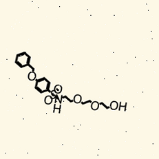 O=S(=O)(NCCOCCOCCO)c1ccc(OCc2ccccc2)cc1